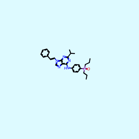 CCCP(=O)(CCC)c1ccc(Nc2nc(C(C)C)nc3c2ncn3C=Cc2ccccc2)cc1